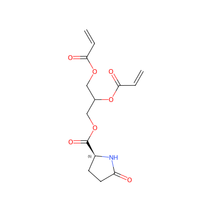 C=CC(=O)OCC(COC(=O)[C@@H]1CCC(=O)N1)OC(=O)C=C